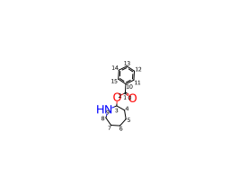 O=C(OC1CCCCCN1)c1ccccc1